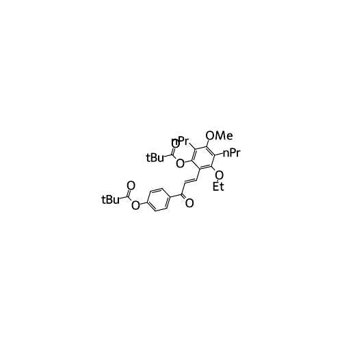 CCCc1c(OCC)c(C=CC(=O)c2ccc(OC(=O)C(C)(C)C)cc2)c(OC(=O)C(C)(C)C)c(CCC)c1OC